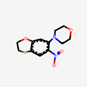 O=[N+]([O-])c1cc2c(cc1N1CCOCC1)OCCS2